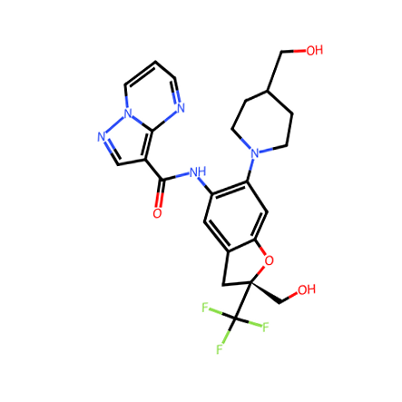 O=C(Nc1cc2c(cc1N1CCC(CO)CC1)O[C@](CO)(C(F)(F)F)C2)c1cnn2cccnc12